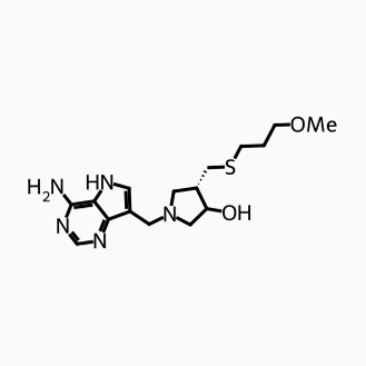 COCCCSC[C@H]1CN(Cc2c[nH]c3c(N)ncnc23)CC1O